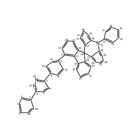 c1ccc(-c2ccc(-c3ccc(-c4cccc5c4-c4ccccc4C54c5ccccc5N(c5ccccc5)c5ccccc54)cc3)nn2)cc1